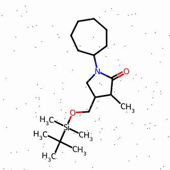 CC1C(=O)N(C2CCCCCC2)CC1CO[Si](C)(C)C(C)(C)C